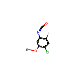 CC(C)Oc1cc(N=C=O)c(F)cc1Cl